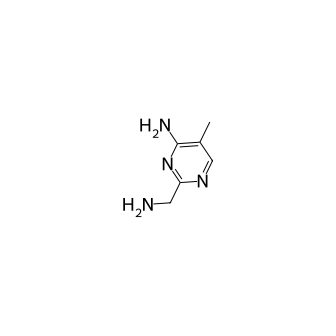 Cc1cnc(CN)nc1N